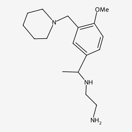 COc1ccc(C(C)NCCN)cc1CN1CCCCC1